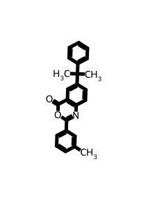 Cc1cccc(-c2nc3ccc(C(C)(C)c4ccccc4)cc3c(=O)o2)c1